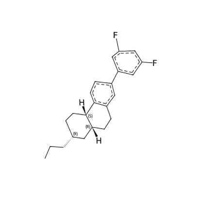 CCC[C@@H]1CC[C@@H]2c3ccc(-c4cc(F)cc(F)c4)cc3CC[C@@H]2C1